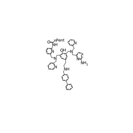 CCCCCC(=O)Nc1cccc(CN(Cc2ccccn2)Cc2cc(CCNCc3ccc(-c4ccccc4)cc3)cc(CN(Cc3ccccn3)Cc3cccc(N)n3)c2O)n1